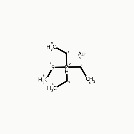 CC[PH](CC)(CC)SC.[Au]